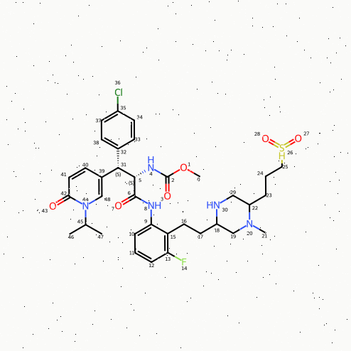 COC(=O)N[C@H](C(=O)Nc1cccc(F)c1CCC1CN(C)C(CCC[SH](=O)=O)CN1)[C@@H](c1ccc(Cl)cc1)c1ccc(=O)n(C(C)C)c1